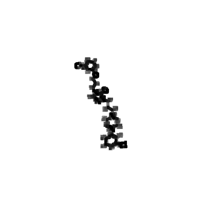 O=c1n(CCCOc2cccc(Cl)c2)cnn1CCCN1CCN(c2cccc(Cl)c2)CC1